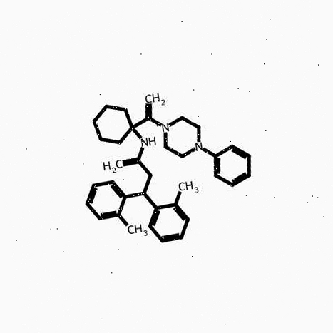 C=C(CC(c1ccccc1C)c1ccccc1C)NC1(C(=C)N2CCN(c3ccccc3)CC2)CCCCC1